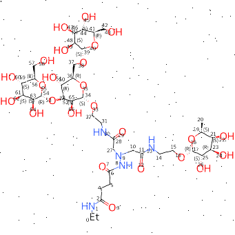 CCNC(=O)CCC(=O)NN(CC(=O)NCCO[C@@H]1O[C@@H](C)[C@@H](O)[C@@H](O)[C@@H]1O)CC(=O)NCCO[C@H]1O[C@H](CO[C@H]2O[C@H](CO)[C@@H](O)[C@H](O)[C@@H]2O)[C@@H](O)[C@H](O[C@H]2O[C@H](CO)[C@@H](O)[C@H](O)[C@@H]2O)[C@@H]1O